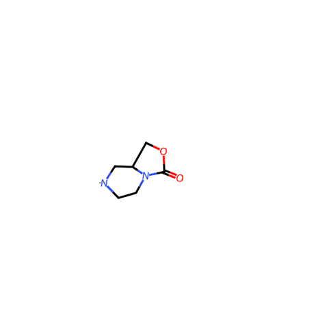 O=C1OCC2C[N]CCN12